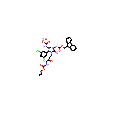 C=CCOC(=O)NCC(=O)CCN(Cc1cc(Cl)cc(Cl)c1)C(=O)[C@H](CCNC(=O)OC(C)(C)C)NC(=O)OCC1c2ccccc2-c2ccccc21